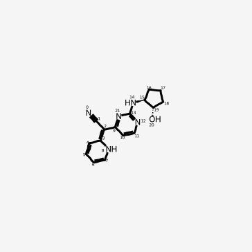 N#C/C(=C1\C=CC=CN1)c1ccnc(N[C@H]2CCC[C@@H]2O)n1